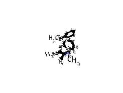 COc1ccccc1N1CCCN(/C(C)=C(/C#N)C(N)=S)CC1